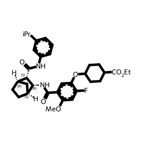 CCOC(=O)C1CCC(Oc2cc(C(=O)N[C@@H]3[C@H]4CC[C@H](C4)[C@@H]3C(=O)Nc3cccc(C(C)C)c3)c(OC)cc2F)CC1